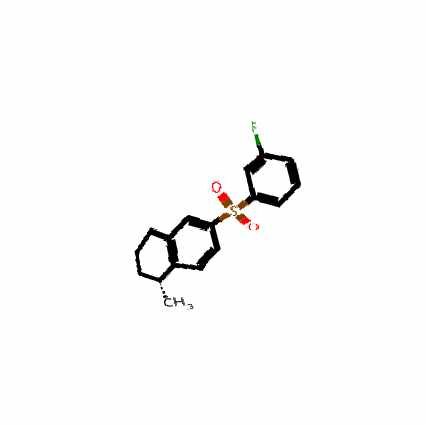 C[C@@H]1CCCc2cc(S(=O)(=O)c3cccc(F)c3)ccc21